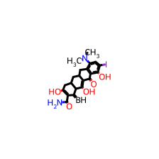 B=C1C(C(N)=O)=C(O)CC2CC3Cc4c(N(C)C)cc(I)c(O)c4C(=O)C3=C(O)C12